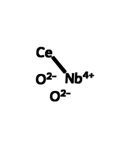 [Nb+4][Ce].[O-2].[O-2]